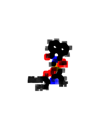 CNC(=O)[C@H](CC(C)C)NC(=O)C(CC(C)C)CP(=O)(O)CN1C(=O)c2cccc3cccc(c23)C1=O